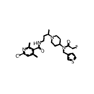 Cc1cc(Cl)nc(C)c1C(=O)NCCC(C)N1CCC(N(Cc2ccsc2)C(=O)CF)CC1